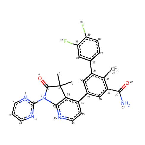 CC1(C)C(=O)N(c2ncccn2)c2nccc(-c3cc(C(N)=O)c(C(F)(F)F)c(-c4ccc(F)c(F)c4)c3)c21